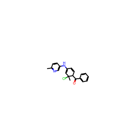 Cc1ccc(NC2=CC(C)(Cl)C(C(=O)c3ccccc3)C=C2)cn1